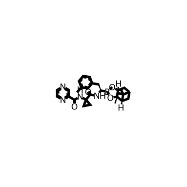 Cc1cccc(C[C@H](NC(=O)C2(NC(=O)c3cnccn3)CC2)B2O[C@@H]3CC4C[C@@H](C4(C)C)[C@]3(C)O2)c1